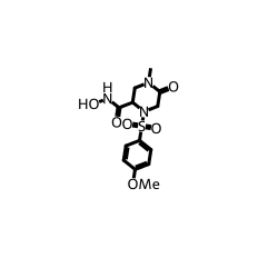 COc1ccc(S(=O)(=O)N2CC(=O)N(C)CC2C(=O)NO)cc1